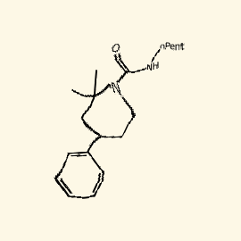 CCCCCNC(=O)N1CCC(c2ccccc2)CC1(C)C